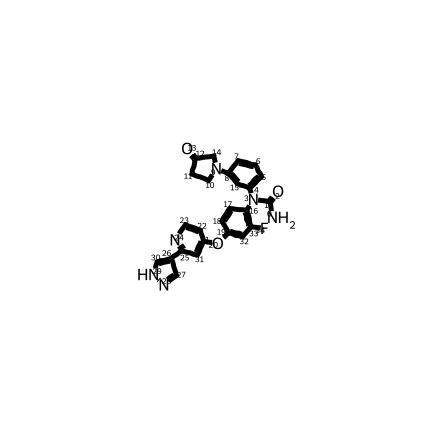 NC(=O)N(c1cccc(N2CCC(=O)C2)c1)c1ccc(Oc2ccnc(-c3cn[nH]c3)c2)cc1F